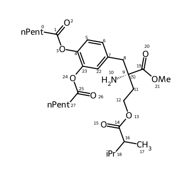 CCCCCC(=O)Oc1ccc(C[C@](N)(CCOC(=O)C(C)C(C)C)C(=O)OC)cc1OC(=O)CCCCC